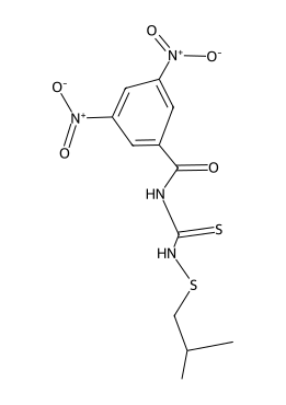 CC(C)CSNC(=S)NC(=O)c1cc([N+](=O)[O-])cc([N+](=O)[O-])c1